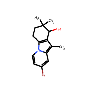 Cc1c2c(n3ccc(Br)cc13)CCC(C)(C)C2O